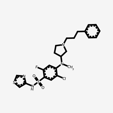 CN(c1cc(F)c(S(=O)(=O)Nc2cscn2)cc1Cl)C1CCN(CCCc2ccccc2)C1